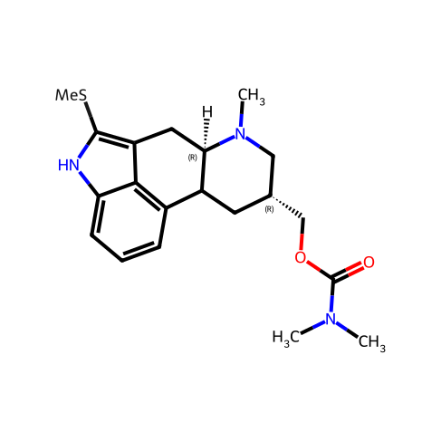 CSc1[nH]c2cccc3c2c1C[C@@H]1C3C[C@@H](COC(=O)N(C)C)CN1C